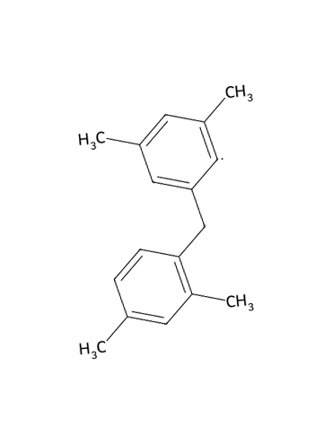 Cc1[c]c(Cc2ccc(C)cc2C)cc(C)c1